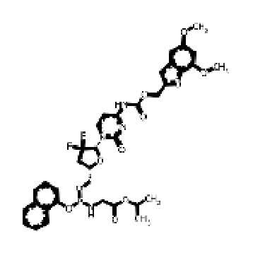 COc1cc(OC)c2oc(COC(=O)Nc3ccn([C@@H]4O[C@H](COP(NCC(=O)OC(C)C)Oc5cccc6ccccc56)CC4(F)F)c(=O)n3)cc2c1